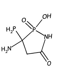 NC1(P)CC(=O)NP1(=O)O